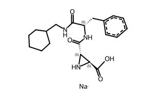 O=C(NCC1CCCCC1)[C@H](Cc1ccccc1)NC(=O)[C@H]1N[C@@H]1C(=O)O.[Na]